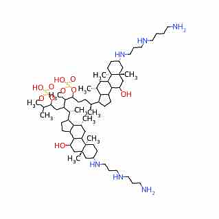 CC(C)C(CC(C(C)C(CC[C@H](C)C1CCC2C1[C@H](C)CC1C2[C@H](O)C[C@@]2(C)C[C@@H](NCCCNCCCCN)CC[C@]12C)OS(=O)(=O)O)[C@H](C)C1CCC2C1[C@H](C)CC1C2[C@H](O)C[C@@]2(C)C[C@@H](NCCCNCCCN)CC[C@]12C)OS(=O)(=O)O